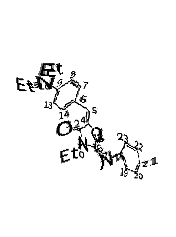 CCN1C(=O)/C(=C\c2ccc(N(CC)CC)cc2)OC1=Nc1ccccc1